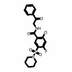 O=C(CNC(=O)c1cc(S(=O)(=O)N2CCCCC2)c(F)cc1Cl)c1ccccc1